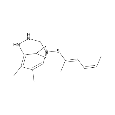 C/C=C\C=C(/C)SN1/C=C(C)\C(C)=C(/C2CC2)NNC1